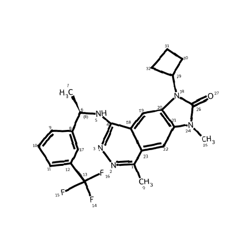 Cc1nnc(N[C@H](C)c2cccc(C(F)(F)F)c2)c2cc3c(cc12)n(C)c(=O)n3C1CCC1